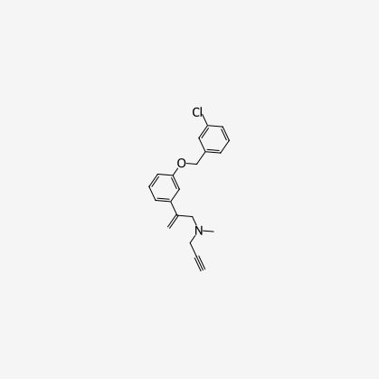 C#CCN(C)CC(=C)c1cccc(OCc2cccc(Cl)c2)c1